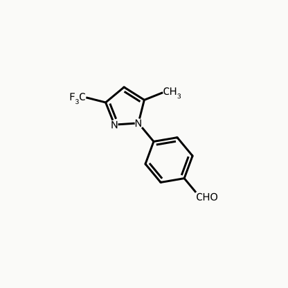 Cc1cc(C(F)(F)F)nn1-c1ccc(C=O)cc1